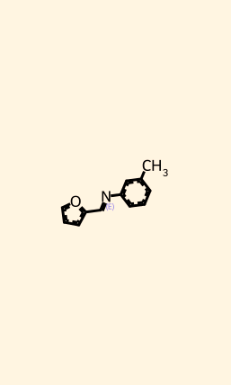 Cc1cccc(/N=C/c2ccco2)c1